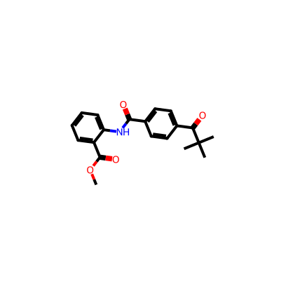 COC(=O)c1ccccc1NC(=O)c1ccc(C(=O)C(C)(C)C)cc1